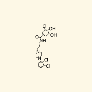 O=C(NCCCN1CCN(c2cccc(Cl)c2Cl)CC1)c1cc(O)c(O)c(Cl)c1